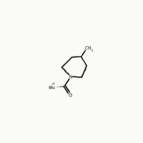 CC[C@@H](C)C(=O)N1CCC(C)CC1